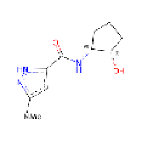 CNc1cc(C(=O)N[C@@H]2CCC[C@@H]2O)[nH]n1